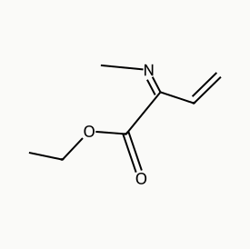 C=CC(=NC)C(=O)OCC